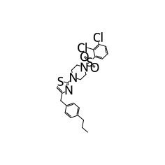 CCCc1ccc(Cc2csc(N3CCN(S(=O)(=O)c4cccc(Cl)c4Cl)CC3)n2)cc1